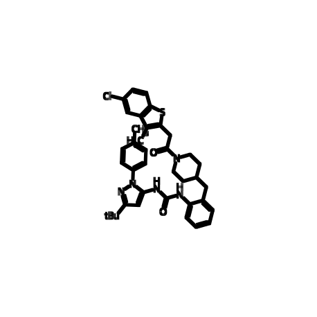 Cc1ccc(-n2nc(C(C)(C)C)cc2NC(=O)Nc2ccccc2CC2CCN(C(=O)Cc3sc4ccc(Cl)cc4c3C)CC2)cc1